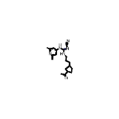 CC(=O)C1CCC(CCCN/C(=N/C#N)Nc2cc(C)nc(C)c2)C1